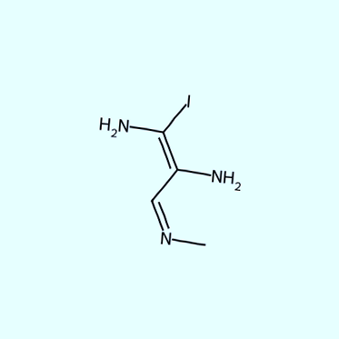 C/N=C\C(N)=C(/N)I